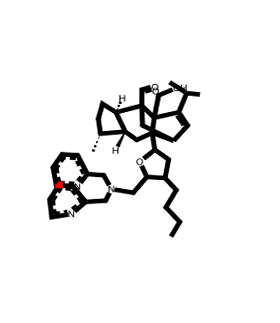 CCCCC1CC(C23C[C@@H]4[C@H](C)CC[C@H]4C4(C=O)CC2C=C(C(C)C)C34C(=O)O)OC1CN(Cc1ccccn1)Cc1ccccn1